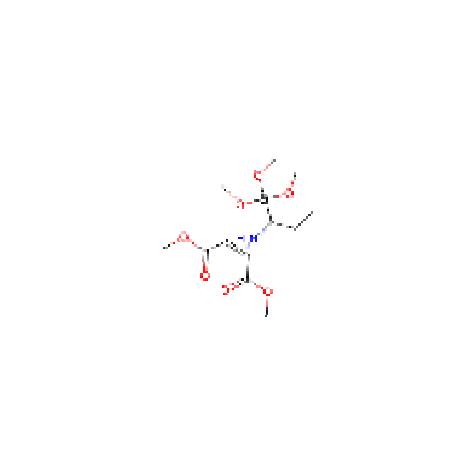 CCC(N)[Si](OC)(OC)OC.COC(=O)/C=C\C(=O)OC